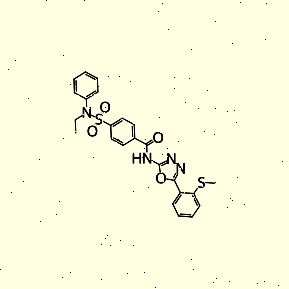 CCN(c1ccccc1)S(=O)(=O)c1ccc(C(=O)Nc2nnc(-c3ccccc3SC)o2)cc1